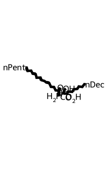 CCCCCC=CCC=CCC=CCC=CCCCC(=O)N(P)[C@](CO)(C(=O)O)C(=O)CCCCCCCCCCCCCCCCC